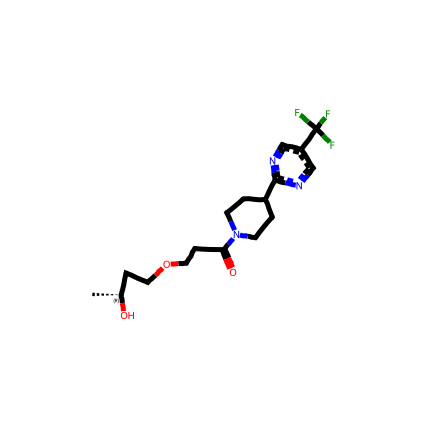 C[C@@H](O)CCOCCC(=O)N1CCC(c2ncc(C(F)(F)F)cn2)CC1